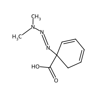 CN(C)N=NC1(C(=O)O)C=CC=CC1